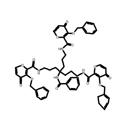 O=C(NC(CCCNC(=O)c1occc(=O)c1OCC1=CC=CCC1)(CCCNC(=O)c1occc(=O)c1OCc1ccccc1)CCCNC(=O)c1occc(=O)c1OCc1ccccc1)c1ccccc1